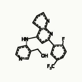 OCc1cnccc1Nc1cc(-c2cc(C(F)(F)F)ccc2F)nc2ncccc12